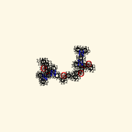 c1ccc(N(c2ccc(-c3cccc4c3oc3ccc(-c5cccc6c5ccc5c6oc6cccc(-c7ccccc7N(c7ccc(-n8c9ccccc9c9ccccc98)cc7)c7ccc8c(c7)oc7ccccc78)c65)cc34)cc2)c2ccc(-n3c4ccccc4c4ccccc43)cc2)c(-c2cccc3oc4c5ccccc5ccc4c23)c1